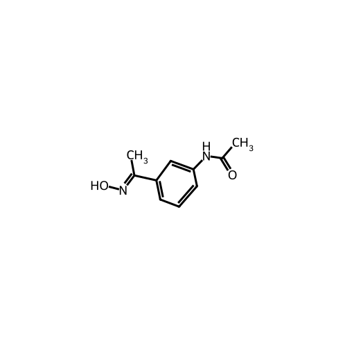 CC(=O)Nc1cccc(C(C)=NO)c1